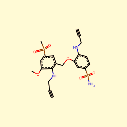 C#CCNc1ccc(S(N)(=O)=O)cc1OCc1cc(S(C)(=O)=O)cc(OC)c1NCC#C